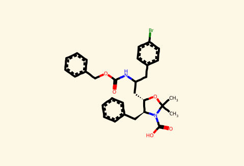 CC1(C)O[C@@H](CC(Cc2ccc(Br)cc2)NC(=O)OCc2ccccc2)[C@H](Cc2ccccc2)N1C(=O)O